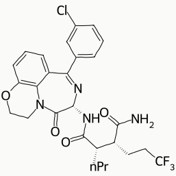 CCC[C@H](C(=O)N[C@H]1N=C(c2cccc(Cl)c2)c2cccc3c2N(CCO3)C1=O)[C@@H](CCC(F)(F)F)C(N)=O